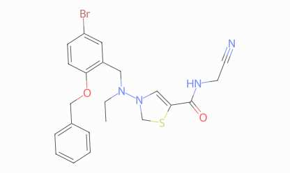 CCN(Cc1cc(Br)ccc1OCc1ccccc1)N1C=C(C(=O)NCC#N)SC1